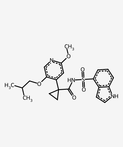 COc1cc(C2(C(=O)NS(=O)(=O)c3cccc4[nH]ccc34)CC2)c(OCC(C)C)cn1